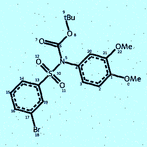 COc1ccc(N(C(=O)OC(C)(C)C)S(=O)(=O)c2cccc(Br)c2)cc1OC